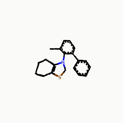 Cc1cccc(-c2ccccc2)c1N1CSC2=C1CCCC2